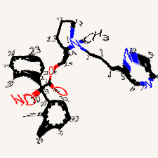 C[N+]1(CCCc2cnccn2)CCCC1COC(=O)C(O)(c1ccccc1)c1ccccc1